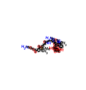 CSSC(C)c1ccc(C(=O)COCCOCCN)cc1C(=O)OCCCCC(=O)NCC#Cc1cn([C@H]2CC(OC(=O)c3ccccc3C(C)N=[N+]=[N-])[C@@H](COP(=O)(O)OP(=O)(O)OP(=O)(O)O)O2)c(=O)nc1N